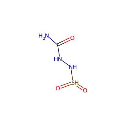 NC(=O)NN[SH](=O)=O